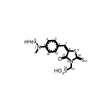 CCCCCCN(C)c1ccc(C=C2SC(=S)N(CS(=O)(=O)O)C2=O)cc1